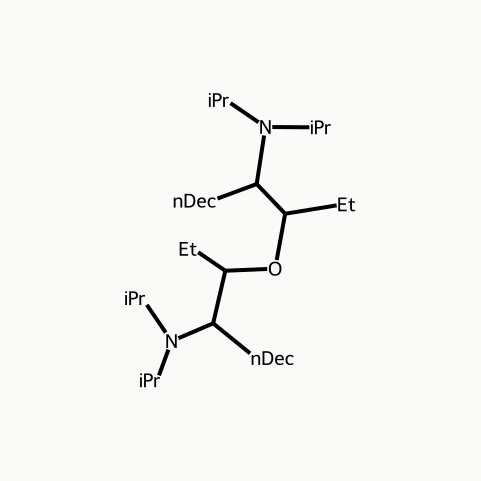 CCCCCCCCCCC(C(CC)OC(CC)C(CCCCCCCCCC)N(C(C)C)C(C)C)N(C(C)C)C(C)C